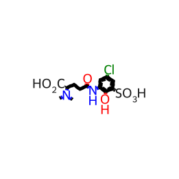 CN(C)[C@@H](CCC(=O)Nc1cc(Cl)cc(S(=O)(=O)O)c1O)C(=O)O